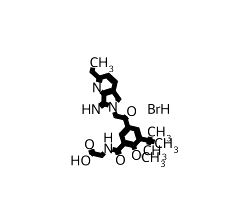 Br.CCc1ccc2c(n1)C(=N)N(CC(=O)c1cc(C(=O)NCC(=O)O)c(OC)c(C(C)(C)C)c1)C2